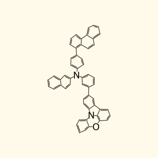 c1cc(-c2ccc3c(c2)c2cccc4c2n3-c2ccccc2O4)cc(N(c2ccc(-c3cccc4c3ccc3ccccc34)cc2)c2ccc3ccccc3c2)c1